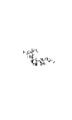 COc1nc(-c2cc(NCC(C)C)ncn2)cs1